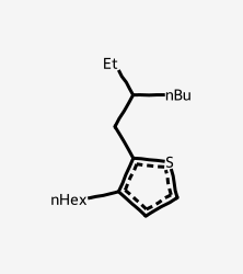 CCCCCCc1ccsc1CC(CC)CCCC